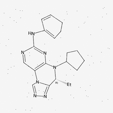 CC[C@@H]1c2nncn2-c2cnc(NC3=CCCC=C3)nc2N1C1CCCC1